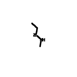 C[CH2][Zr][NH]C